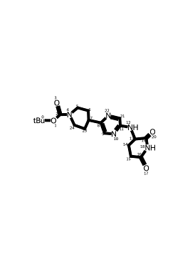 CC(C)(C)OC(=O)N1CCC(c2cnc(NC3CCC(=O)NC3=O)cn2)CC1